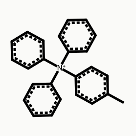 Cc1ccc([N+](c2ccccc2)(c2ccccc2)c2ccccc2)cc1